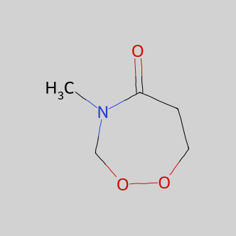 CN1COOCCC1=O